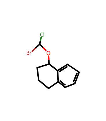 ClC(Br)OC1CCCc2ccccc21